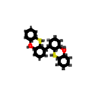 c1ccc2c(c1)Oc1cccc(-c3cccc4c3Sc3ccccc3O4)c1S2